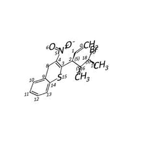 C=C[C@H](C1=C([N+](=O)[O-])Cc2ccccc2S1)[C@H](C)[C@H](C)Br